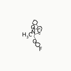 CCN(C(=O)c1ccccc1-c1ccccc1)C(CCOc1ccc(F)cc1)C1CC1